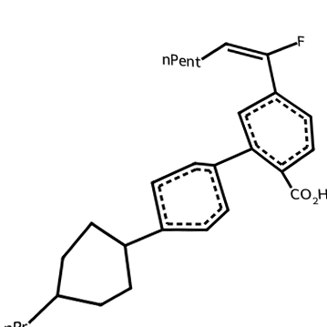 CCCCC/C=C(/F)c1ccc(C(=O)O)c(-c2ccc(C3CCC(CCC)CC3)cc2)c1